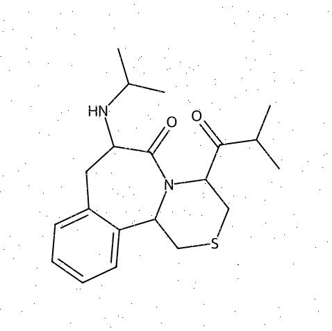 CC(C)NC1Cc2ccccc2C2CSCC(C(=O)C(C)C)N2C1=O